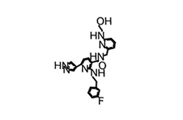 O=C(NCc1cccc(NCCO)n1)c1ccc(-c2cn[nH]c2)nc1NCCc1cccc(F)c1